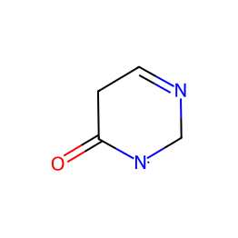 O=C1CC=NC[N]1